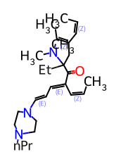 C/C=C\C(=C/C)CC(CC)(C(=O)C(/C=C\C)=C/C=C/N1CCN(CCC)CC1)N(C)C